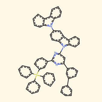 c1ccc(-c2cccc(-c3cc(-n4c5ccccc5c5cc(-n6c7ccccc7c7ccccc76)ccc54)nc(-c4cccc(S(c5ccccc5)(c5ccccc5)c5ccccc5)c4)n3)c2)cc1